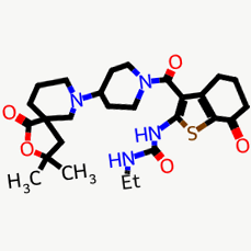 CCNC(=O)Nc1sc2c(c1C(=O)N1CCC(N3CCCC4(C3)CC(C)(C)OC4=O)CC1)CCCC2=O